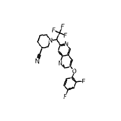 N#CC1CCCN(C(c2cc3ncc(Oc4ccc(F)cc4F)cc3cn2)C(F)(F)F)C1